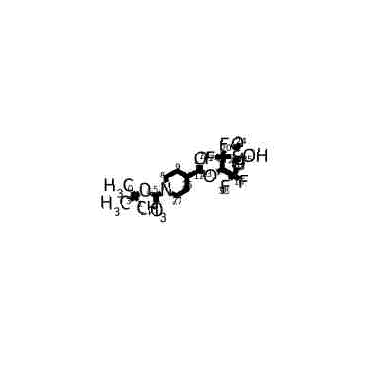 CC(C)(C)OC(=O)N1CCC(C(=O)OC(C(F)(F)F)C(F)(F)S(=O)(=O)O)CC1